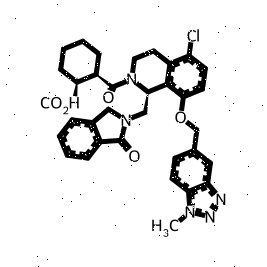 Cn1nnc2cc(COc3ccc(Cl)c4c3[C@@H](CN3Cc5ccccc5C3=O)N(C(=O)[C@@H]3CCCC[C@@H]3C(=O)O)CC4)ccc21